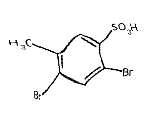 Cc1cc(S(=O)(=O)O)c(Br)cc1Br